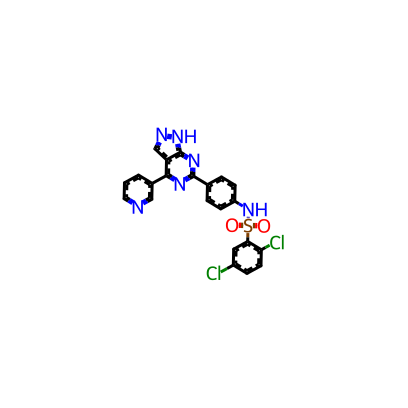 O=S(=O)(Nc1ccc(-c2nc(-c3cccnc3)c3cn[nH]c3n2)cc1)c1cc(Cl)ccc1Cl